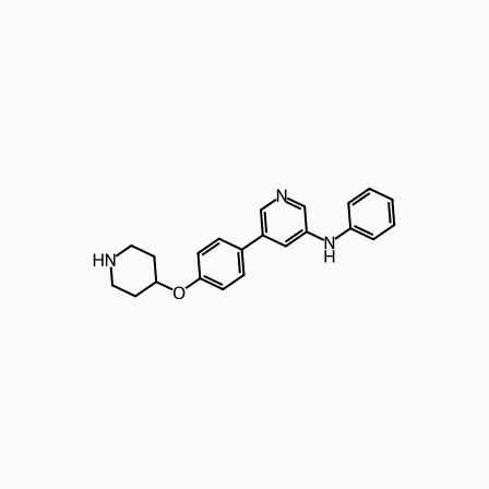 c1ccc(Nc2cncc(-c3ccc(OC4CCNCC4)cc3)c2)cc1